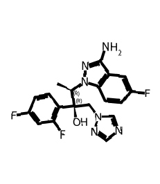 C[C@@H](n1nc(N)c2cc(F)ccc21)[C@](O)(Cn1cncn1)c1ccc(F)cc1F